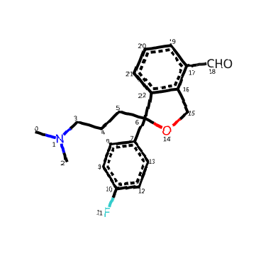 CN(C)CCCC1(c2ccc(F)cc2)OCc2c(C=O)cccc21